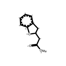 COC(=O)CC1Cc2ccccc2O1